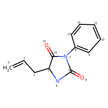 C=CCC1[N]C(=O)N(c2ccccc2)C1=O